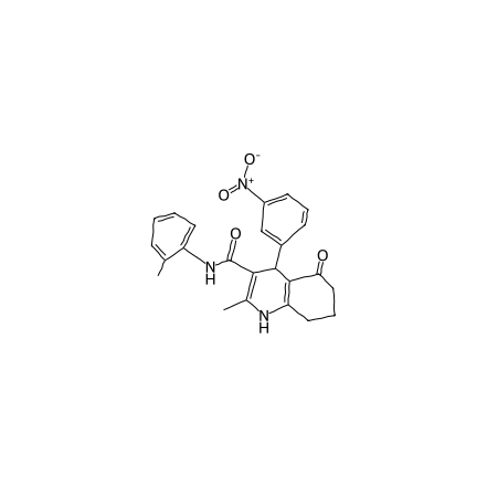 CC1=C(C(=O)Nc2ccccc2C)C(c2cccc([N+](=O)[O-])c2)C2=C(CCCC2=O)N1